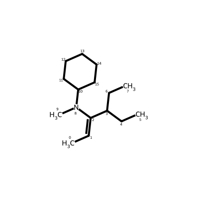 C/C=C(/C(CC)CC)N(C)C1CCCCC1